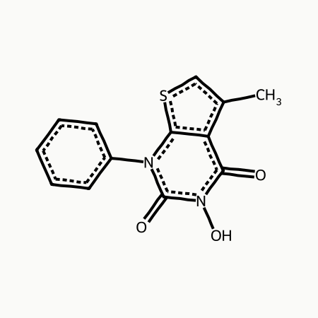 Cc1csc2c1c(=O)n(O)c(=O)n2-c1ccccc1